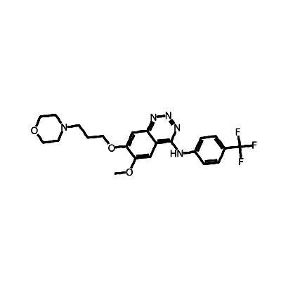 COc1cc2c(Nc3ccc(C(F)(F)F)cc3)nnnc2cc1OCCCN1CCOCC1